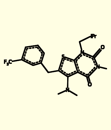 CC(C)Cn1c(=O)n(C)c(=O)c2c(N(C)C)c(Cc3cccc(C(F)(F)F)c3)sc21